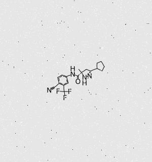 CC1(C(=O)Nc2ccc(C#N)c(C(F)(F)F)c2)CC(C2CCCC2)=NN1